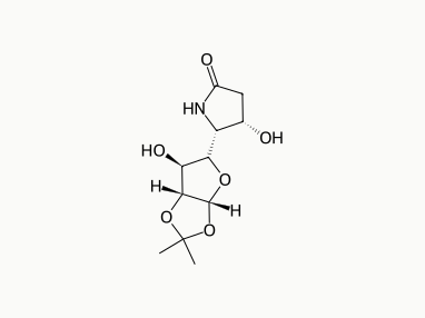 CC1(C)O[C@H]2OC([C@@H]3NC(=O)C[C@@H]3O)[C@H](O)[C@H]2O1